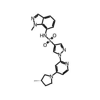 C[C@H]1CCN(c2ccnc(-n3cc(S(=O)(=O)Nc4cccc5cnn(C)c45)cn3)c2)C1